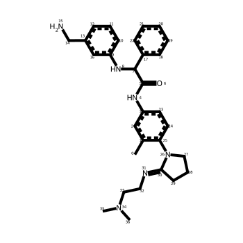 Cc1cc(NC(=O)C(Nc2cccc(CN)c2)c2ccccc2)ccc1N1CCCC1=NCCN(C)C